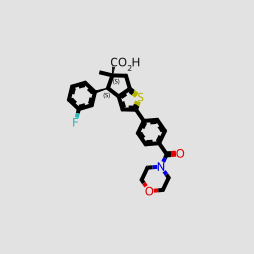 C[C@]1(C(=O)O)Cc2sc(-c3ccc(C(=O)N4CCOCC4)cc3)cc2[C@H]1c1cccc(F)c1